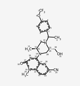 CC(c1ccc(OC(F)(F)F)cc1)N1C[C@H](C)N(c2nc(=O)n(C)c3ccc(C#N)nc23)C[C@H]1CO